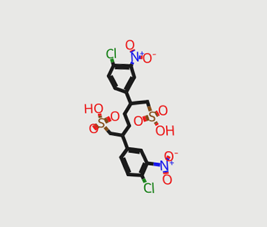 O=[N+]([O-])c1cc(C(CCC(CS(=O)(=O)O)c2ccc(Cl)c([N+](=O)[O-])c2)CS(=O)(=O)O)ccc1Cl